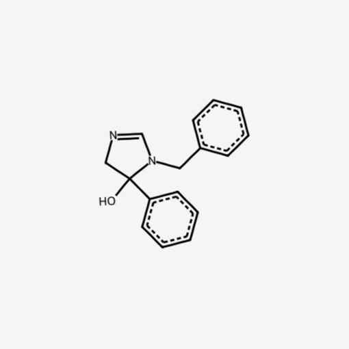 OC1(c2ccccc2)CN=CN1Cc1ccccc1